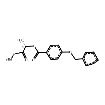 CCCCOC(=O)[C@H](C)OC(=O)c1ccc(OCc2ccccc2)cc1